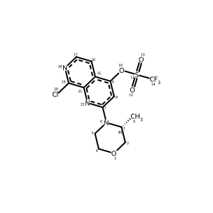 C[C@@H]1COCCN1c1cc(OS(=O)(=O)C(F)(F)F)c2ccnc(Cl)c2n1